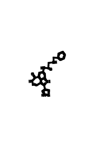 O=C(CNCc1ccccc1)Nc1cc2c3c(c(-c4cn[nH]c4)[nH]c3c1)C=NNC2=O